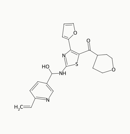 C=Cc1ccc(C(O)Nc2nc(-c3ccco3)c(C(=O)C3CCOCC3)s2)cn1